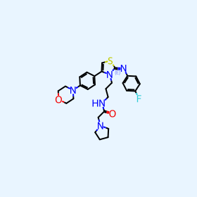 O=C(CN1CCCC1)NCCCn1c(-c2ccc(N3CCOCC3)cc2)cs/c1=N/c1ccc(F)cc1